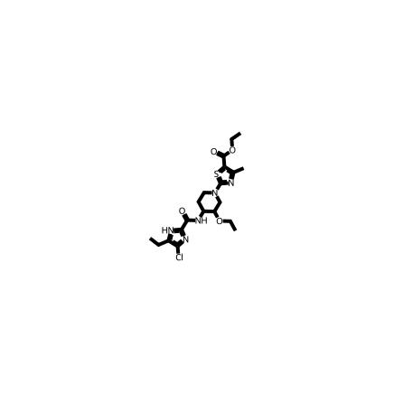 CCOC(=O)c1sc(N2CCC(NC(=O)c3nc(Cl)c(CC)[nH]3)C(OCC)C2)nc1C